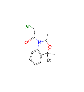 CCC1(C)OC(C)N(C(=O)CBr)c2ccccc21